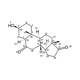 C[C@]12CC[C@H](O)C[C@@H]1C(=O)C[C@@H]1[C@@H]2CC[C@]2(C)C(=O)CC[C@@H]12